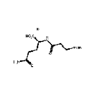 CCCCCCCCCCCC(=O)N[C@@H](CCC(N)=O)C(=O)O.[K]